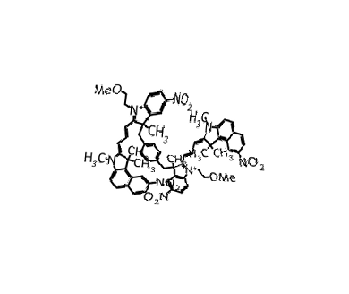 COCC[N+]1=C(/C=C/C=C2/N(C)c3ccc4ccc([N+](=O)[O-])cc4c3C2(C)C)C(C)(Cc2ccc(CC3(C)C(/C=C/C=C4/N(C)c5ccc6ccc([N+](=O)[O-])cc6c5C4(C)C)=[N+](CCOC)c4ccc([N+](=O)[O-])cc43)cc2)c2cc([N+](=O)[O-])ccc21